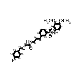 COc1ccc(NS(=O)(=O)c2cccc(C=CCNC(=O)COCc3ccc(F)cc3)c2)cc1OC